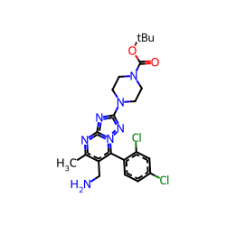 Cc1nc2nc(N3CCN(C(=O)OC(C)(C)C)CC3)nn2c(-c2ccc(Cl)cc2Cl)c1CN